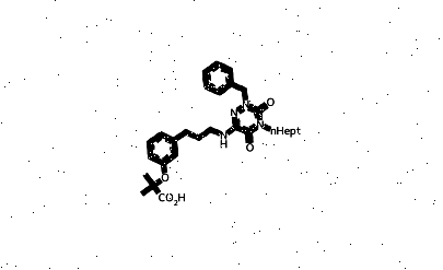 CCCCCCCn1c(=O)c(NCCCc2cccc(OC(C)(C)C(=O)O)c2)nn(Cc2ccccc2)c1=O